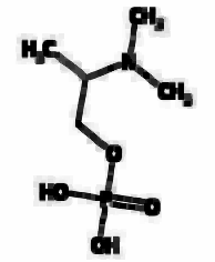 CC(COP(=O)(O)O)N(C)C